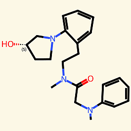 CN(CCc1ccccc1N1CC[C@H](O)C1)C(=O)CN(C)c1ccccc1